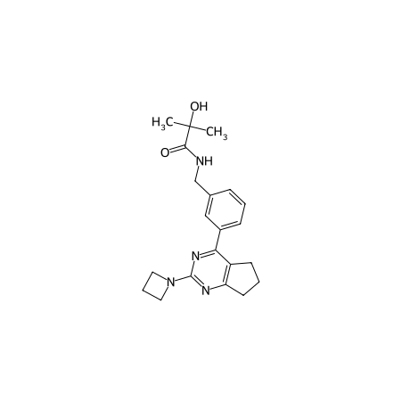 CC(C)(O)C(=O)NCc1cccc(-c2nc(N3CCC3)nc3c2CCC3)c1